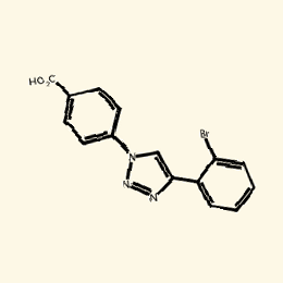 O=C(O)c1ccc(-n2cc(-c3ccccc3Br)nn2)cc1